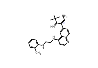 Cc1ccccc1NCCNc1ccnc2ccc(/C(=C/N)C(=N)C(F)(F)F)cc12